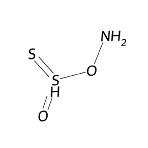 NO[SH](=O)=S